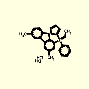 C[CH]=[Ti]([C]1=CC=CC1)([c]1ccccc1)[c]1cc(C)cc2c1Cc1ccc(C)cc1-2.Cl.Cl